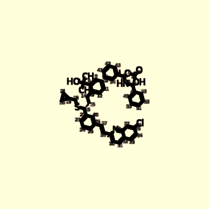 CC(=O)O.CC(C)(O)c1ccccc1CC[C@@H](SCC1CC1)c1cccc(C=Cc2ccc3ccc(Cl)cc3n2)c1.c1ccc(CNCc2ccccc2)cc1